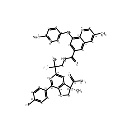 COc1ccc(Nc2cc(C(=O)NCC(O)(c3cc4c(c(-c5ccc(F)cc5)n3)OC[C@]4(C)C(N)=O)C(F)(F)F)cc3cc(C)cnc23)nn1